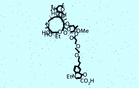 CC[C@H]1OC(=O)[C@H](C)[C@@H](O[C@H]2C[C@@](C)(OC)[C@@H](OC(=O)CCOCCOCCCc3ccc4c(c3)c(=O)c(C(=O)O)cn4CC)[C@H](C)O2)[C@H](C)[C@@H](OC2O[C@H](C)C[C@H](N(C)C)[C@H]2O)[C@](C)(O)C[C@@H](C)CN(C)[C@H](C)[C@@H](O)[C@]1(C)O